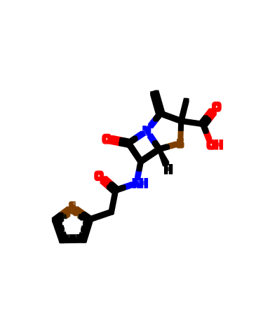 C=C1N2C(=O)C(NC(=O)Cc3cccs3)[C@H]2SC1(C)C(=O)O